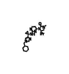 CC(C)C1CN(C)C(=O)N1c1ccnc(NC2(c3cn(CC4CCCCC4)cn3)CC2)n1